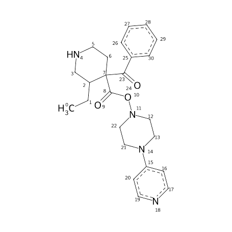 CCC1CNCCC1(C(=O)ON1CCN(c2ccncc2)CC1)C(=O)c1ccccc1